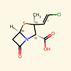 C[C@@]1(/C=C/Cl)S[C@@H]2CC(=O)N2[C@H]1C(=O)O